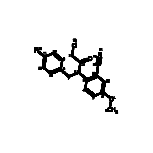 COc1ccc(N(Cc2ccc(F)cc2)C(=O)CCl)c(C#N)c1